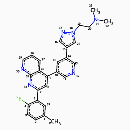 Cc1ccc(F)c(-c2cc(-c3cncc(-c4cnn(CCN(C)C)c4)c3)c3cccnc3n2)c1